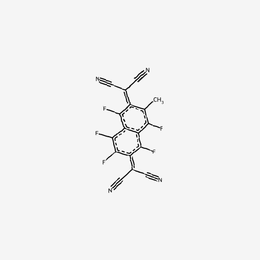 Cc1c(F)c2c(F)c(=C(C#N)C#N)c(F)c(F)c2c(F)c1=C(C#N)C#N